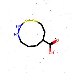 O=C(O)C1CCCNNSSCC1